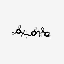 CCC(CCCc1ccc(CNC(=O)c2ccc(Cl)nc2)c(C(F)(F)F)c1)(c1cc(Cl)cc(Cl)c1)C(F)(F)F